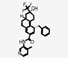 Cc1ccncc1NC(=O)C1=C[C@@H](Cc2ccccc2)C2=C3CC[C@](O)(C(F)(F)F)C[C@H]3CCC2=C1